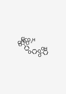 O=C(Oc1ccc(Oc2ccc(C(Cl)[C@@](Cl)(C(=O)O)N(Cl)Cl)cc2)cc1)c1ccccc1O